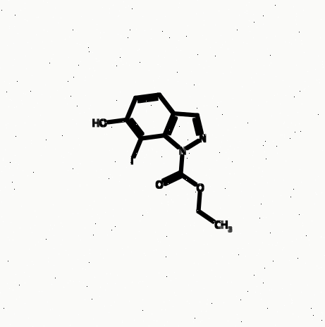 CCOC(=O)n1ncc2ccc(O)c(I)c21